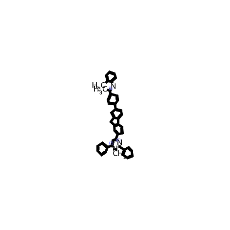 C=N/C(=C\C(=N/Cc1ccccc1)c1ccc2c(c1)Cc1cc(-c3ccc(/C(C)=N/c4ccccc4C)cc3)ccc1-2)c1ccccc1